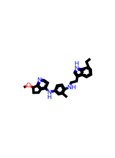 CCc1cccc2c(CCNc3ccc(Nc4ccnc5c4CCC5OC)cc3C)c[nH]c12